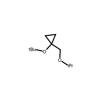 CC(C)OCC1(OC(C)(C)C)CC1